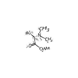 CC[C@H](C)[C@@H](C(=O)OC)N(C)C